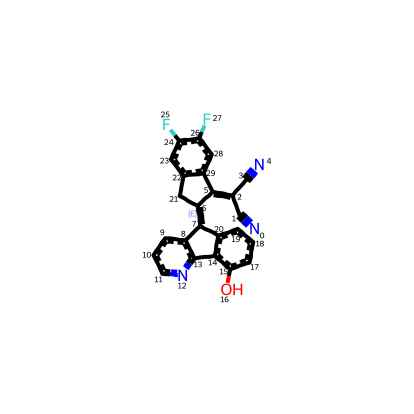 N#CC(C#N)=C1/C(=C2/c3cccnc3-c3c(O)cccc32)Cc2cc(F)c(F)cc21